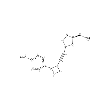 COc1ccc(C2OCC2C#CC2CC[C@@H](CO)O2)cc1